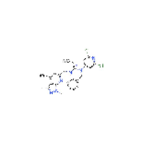 Cc1nn(C)c2nc(CN(C)/C(=C\C#N)N(Cc3ccccc3)c3cc(Cl)nc(Cl)c3)cc(C(C)C)c12